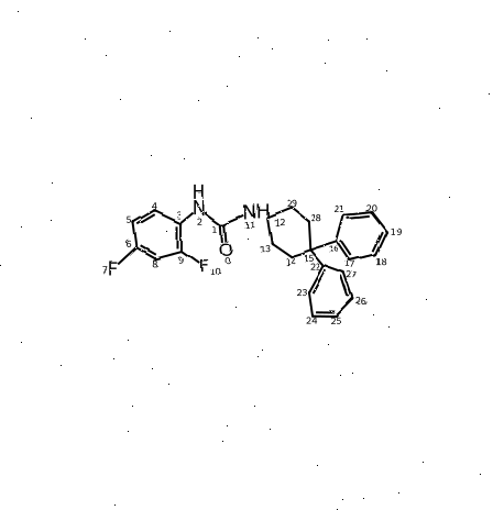 O=C(Nc1ccc(F)cc1F)NC1CCC(c2ccccc2)(c2ccccc2)CC1